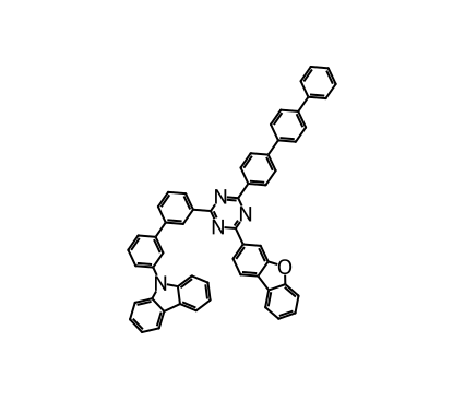 c1ccc(-c2ccc(-c3ccc(-c4nc(-c5cccc(-c6cccc(-n7c8ccccc8c8ccccc87)c6)c5)nc(-c5ccc6c(c5)oc5ccccc56)n4)cc3)cc2)cc1